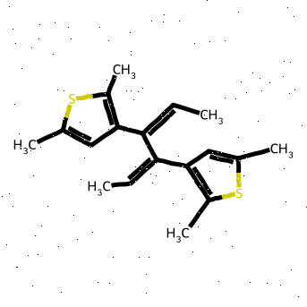 C/C=C(\C(=C/C)c1cc(C)sc1C)c1cc(C)sc1C